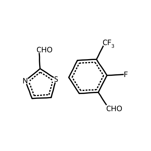 O=Cc1cccc(C(F)(F)F)c1F.O=Cc1nccs1